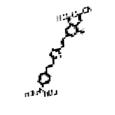 CCCCN(CCCC)c1ccc(/C=C/c2ccc(/C=C/c3cc(F)c(C=C(C#N)C(=O)O)c(F)c3)s2)cc1